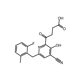 Cc1cccc(F)c1Cc1cc(C#N)c(O)c(C(=O)CCC(=O)O)n1